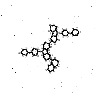 c1ccc(-c2ccc(-n3c4ccccc4c4cc(-c5ccc6c(c5)c5cc(-c7cccc8ccccc78)ccc5n6-c5ccc(-c6ccccc6)cc5)ccc43)cc2)cc1